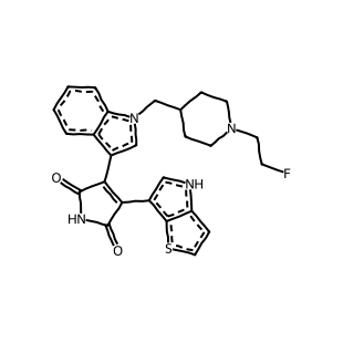 O=C1NC(=O)C(c2c[nH]c3ccsc23)=C1c1cn(CC2CCN(CCF)CC2)c2ccccc12